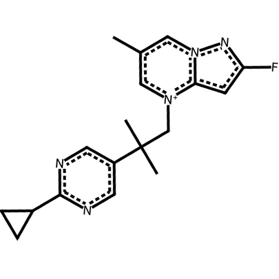 Cc1cn2nc(F)cc2[n+](CC(C)(C)c2cnc(C3CC3)nc2)c1